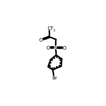 O=C(CS(=O)(=O)c1ccc(Br)cc1)C(F)(F)F